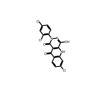 O=c1c2ccc(Cl)cc2[nH]c2c(O)nn(-c3ccc(Cl)cc3Cl)c(=O)c12